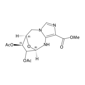 COC(=O)c1ncn2c1N[C@@H]1O[C@H](C2)[C@H](OC(C)=O)C1OC(C)=O